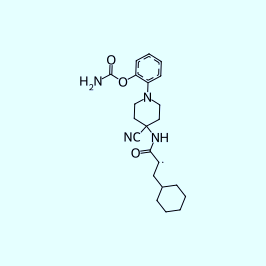 N#CC1(NC(=O)[CH]CC2CCCCC2)CCN(c2ccccc2OC(N)=O)CC1